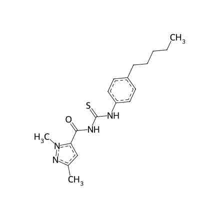 CCCCCc1ccc(NC(=S)NC(=O)c2cc(C)nn2C)cc1